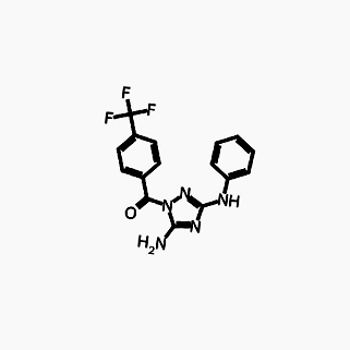 Nc1nc(Nc2ccccc2)nn1C(=O)c1ccc(C(F)(F)F)cc1